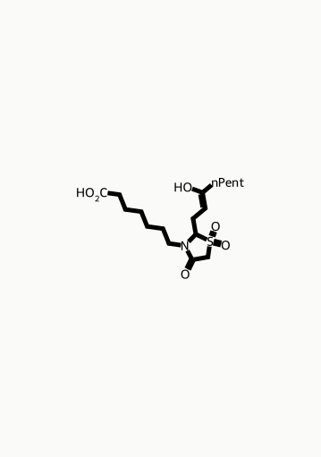 CCCCCC(O)=CCC1N(CCCCCCC(=O)O)C(=O)CS1(=O)=O